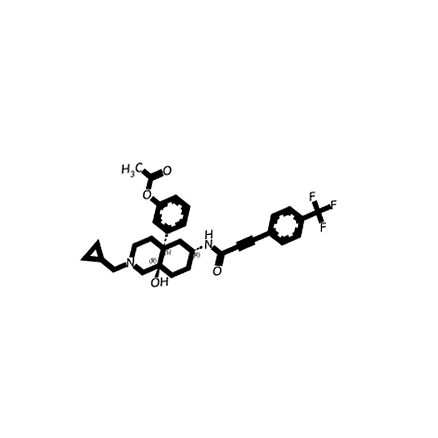 CC(=O)Oc1cccc([C@@]23CCN(CC4CC4)C[C@@]2(O)CC[C@@H](NC(=O)C#Cc2ccc(C(F)(F)F)cc2)C3)c1